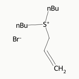 C=CC[S+](CCCC)CCCC.[Br-]